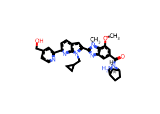 COc1cc(C(=O)N2CC3CCC2[C@@H]3N)cc2nc(-c3cc4ccc(-c5cc(CO)ccn5)nc4n3CC3CC3)n(C)c12